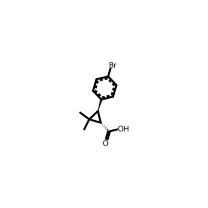 CC1(C)[C@@H](C(=O)O)[C@@H]1c1ccc(Br)cc1